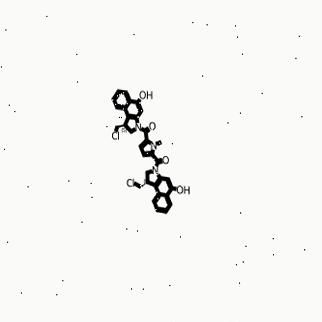 Cn1c(C(=O)N2C[C@@H](CCl)c3c2cc(O)c2ccccc32)ccc1C(=O)N1C[C@@H](CCl)c2c1cc(O)c1ccccc21